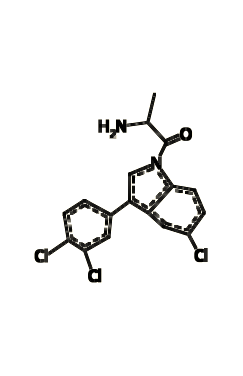 CC(N)C(=O)n1cc(-c2ccc(Cl)c(Cl)c2)c2cc(Cl)ccc21